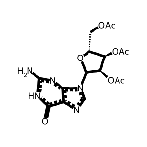 CC(=O)OC[C@H]1OC(n2cnc3c(=O)[nH]c(N)nc32)[C@H](OC(C)=O)[C@@H]1OC(C)=O